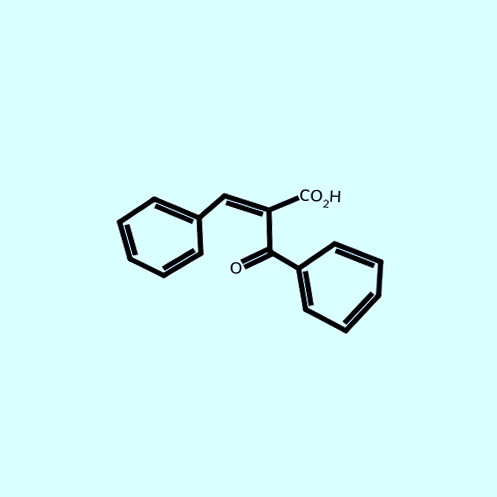 O=C(O)/C(=C/c1ccccc1)C(=O)c1ccccc1